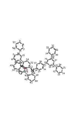 c1ccc(-c2cccc(-c3ccc(N(c4ccc(-c5cc(-c6ccccc6)cc(-c6ccccc6)c5)cc4)c4ccccc4-c4cc5ccccc5o4)cc3)c2)cc1